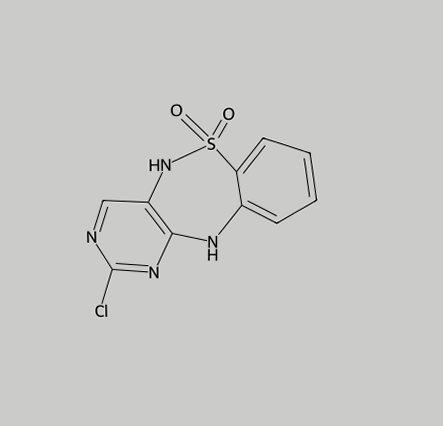 O=S1(=O)Nc2cnc(Cl)nc2Nc2ccccc21